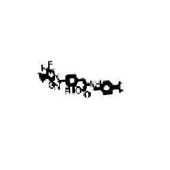 CC(C)c1ccc(CNC(Cc2ccc(-c3noc(C4(C(F)(F)F)CC4)n3)c(F)c2)C(=O)O)cc1